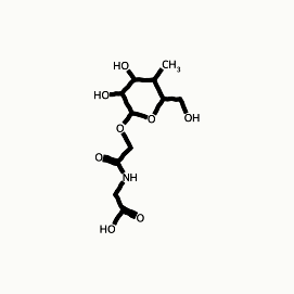 CC1C(CO)OC(OCC(=O)NCC(=O)O)C(O)C1O